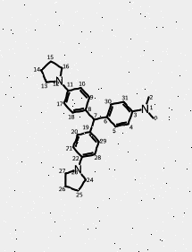 CN(C)c1ccc(C(c2ccc(N3CCCC3)cc2)c2ccc(N3CCCC3)cc2)cc1